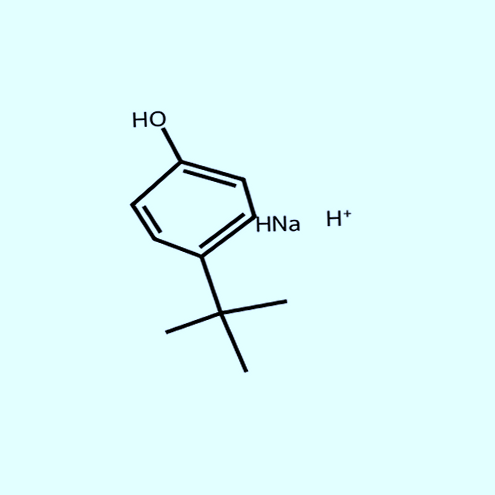 CC(C)(C)c1ccc(O)cc1.[H+].[NaH]